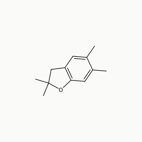 Cc1cc2c(cc1C)OC(C)(C)C2